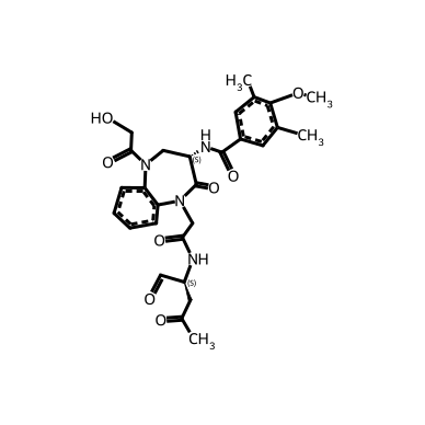 COc1c(C)cc(C(=O)N[C@H]2CN(C(=O)CO)c3ccccc3N(CC(=O)N[C@H](C=O)CC(C)=O)C2=O)cc1C